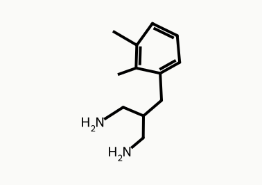 Cc1cccc(CC(CN)CN)c1C